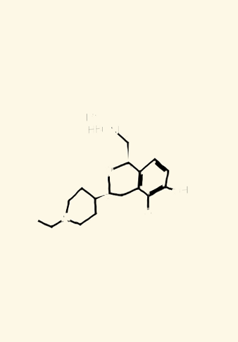 Br.Br.CCN1CCC([C@@H]2Cc3c(ccc(O)c3O)[C@H](CN)O2)CC1